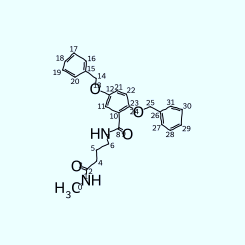 CNC(=O)CCCNC(=O)c1cc(OCc2ccccc2)ccc1OCc1ccccc1